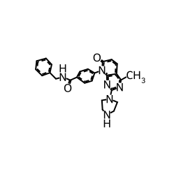 Cc1nc(N2CCNCC2)nc2c1ccc(=O)n2-c1ccc(C(=O)NCc2ccccc2)cc1